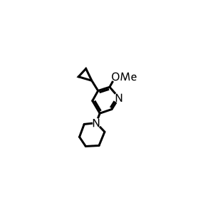 COc1ncc(N2CCCCC2)cc1C1CC1